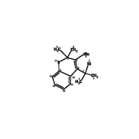 CCC(C)(C)C1=C(C(C)(C)C)C(C)(C)Sc2ccccc21